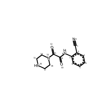 N#Cc1ccccc1NC(=O)C(=O)N1CCNCC1